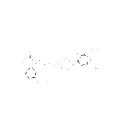 Cc1ccc2c(c1)N(CCCCN1CCN(c3cc(C(F)(F)F)nc(C(C)(C)C)n3)CC1)C(=O)CO2